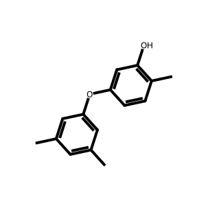 Cc1cc(C)cc(Oc2ccc(C)c(O)c2)c1